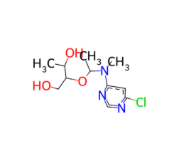 CC(O)C(CO)OC(C)N(C)c1cc(Cl)ncn1